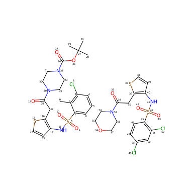 Cc1c(Cl)cccc1S(=O)(=O)Nc1ccsc1CC(=O)N1CCN(C(=O)OC(C)(C)C)CC1.O=C(Cc1sccc1NS(=O)(=O)c1ccc(Cl)cc1Cl)N1CCOCC1